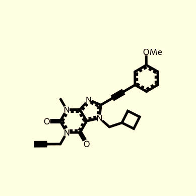 C#CCn1c(=O)c2c(nc(C#Cc3cccc(OC)c3)n2CC2CCC2)n(C)c1=O